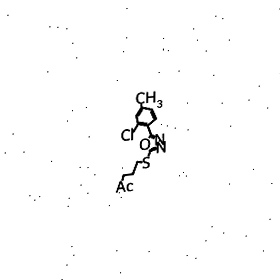 CC(=O)CCCSc1nnc(-c2ccc(C)cc2Cl)o1